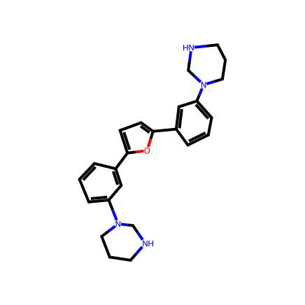 c1cc(-c2ccc(-c3cccc(N4CCCNC4)c3)o2)cc(N2CCCNC2)c1